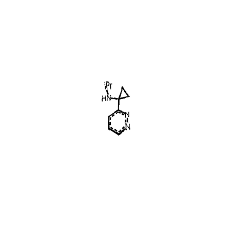 CC(C)NC1(c2cccnn2)CC1